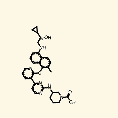 Cc1ccc2c(NC[C@@H](O)C3CC3)cccc2c1Oc1ncccc1-c1ccnc(NC2CCCN(C(=O)O)C2)n1